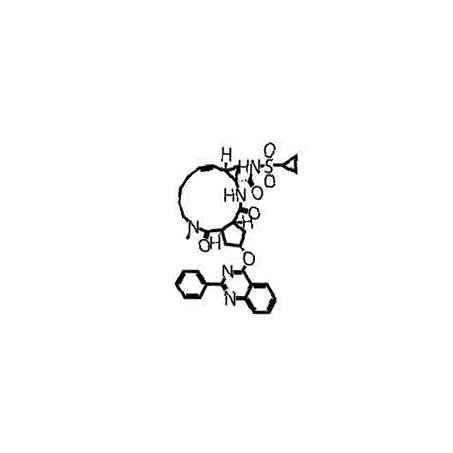 CN1CCCC/C=C\[C@@H]2C[C@@]2(C(=O)NS(=O)(=O)C2CC2)NC(=O)[C@@H]2C[C@@H](Oc3nc(-c4ccccc4)nc4ccccc34)C[C@H]2C1=O